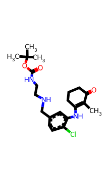 CC1=C(Nc2cc(CNCCNC(=O)OC(C)(C)C)ccc2Cl)CCCC1=O